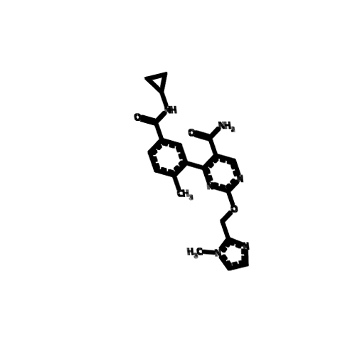 Cc1ccc(C(=O)NC2CC2)cc1-c1nc(OCc2nccn2C)ncc1C(N)=O